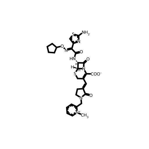 C[n+]1ccccc1CN1CCC(=CC2=C(C(=O)[O-])N3C(=O)[C@@H](NC(=O)C(=NOC4CCCC4)c4csc(N)n4)[C@H]3SC2)C1=O